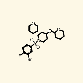 C1=COCCC1.O=S(=O)(c1ccc(F)c(Br)c1)N1CCC(OC2CCCCO2)CC1